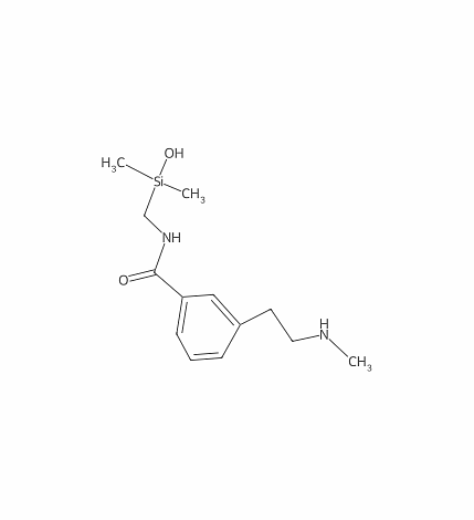 CNCCc1cccc(C(=O)NC[Si](C)(C)O)c1